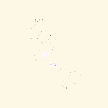 CNC(=O)c1ccc(C[C@@H](CNC(=O)C[C@H](c2ccccc2)C(C)(C)C)N2CCCC2)cc1F